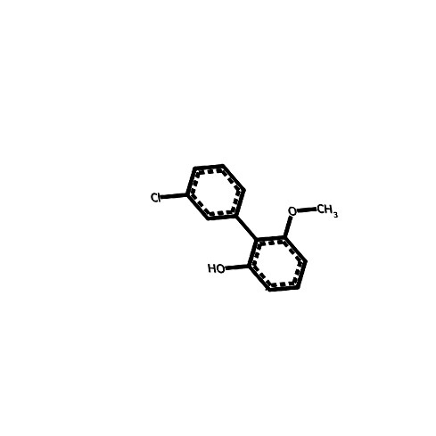 COc1cc[c]c(O)c1-c1cccc(Cl)c1